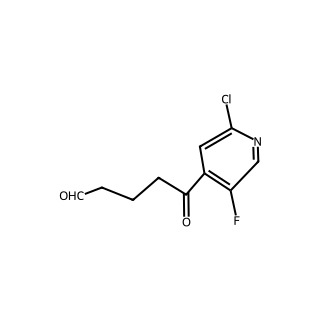 O=CCCCC(=O)c1cc(Cl)ncc1F